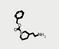 NCCC1CCCN(C(=O)OCc2ccccc2)C1